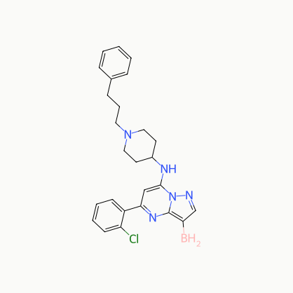 Bc1cnn2c(NC3CCN(CCCc4ccccc4)CC3)cc(-c3ccccc3Cl)nc12